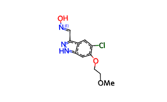 COCCOc1cc2[nH]nc(/C=N/O)c2cc1Cl